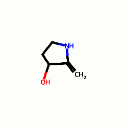 C=C1NCCC1O